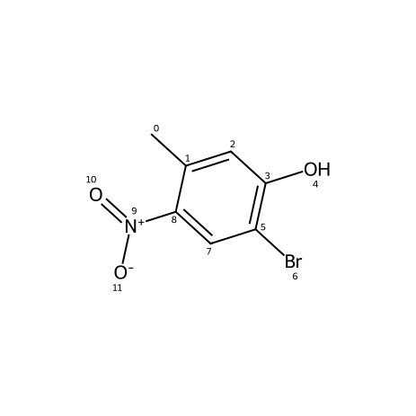 Cc1cc(O)c(Br)cc1[N+](=O)[O-]